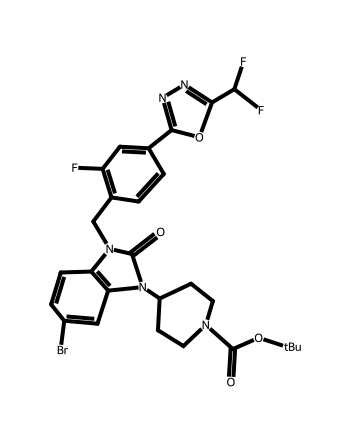 CC(C)(C)OC(=O)N1CCC(n2c(=O)n(Cc3ccc(-c4nnc(C(F)F)o4)cc3F)c3ccc(Br)cc32)CC1